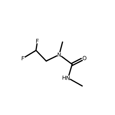 CNC(=O)N(C)CC(F)F